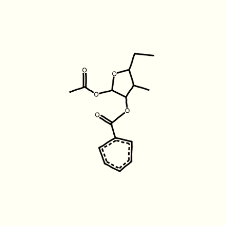 CCC1OC(OC(C)=O)C(OC(=O)c2ccccc2)C1C